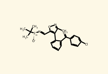 Cc1noc(C=N[S@+]([O-])C(C)(C)C)c1-c1ccccc1C(=O)c1ccc(Cl)cc1